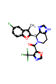 Cc1c([C@H]2c3nc[nH]c3CCN2C(=O)c2ocnc2C(F)(F)F)oc2ccc(F)cc12